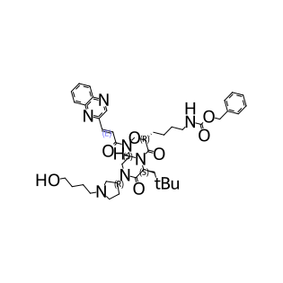 CC(C)(C)C[C@H]1C(=O)N([C@@H]2CCN(CCCCO)C2)C[C@@H]2N(C(=O)/C=C/c3cnc4ccccc4n3)O[C@H](CCCCNC(=O)OCc3ccccc3)C(=O)N21